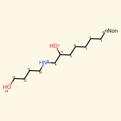 CCCCCCCCCCCCCCC(O)CNCCCCO